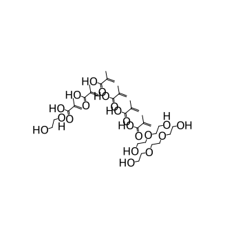 C=C(C)C(=O)O.C=C(C)C(=O)O.C=C(C)C(=O)O.C=C(C)C(=O)O.C=C(C)C(=O)O.C=C(C)C(=O)O.OCCO.OCCOCCO.OCCOCCOCCO